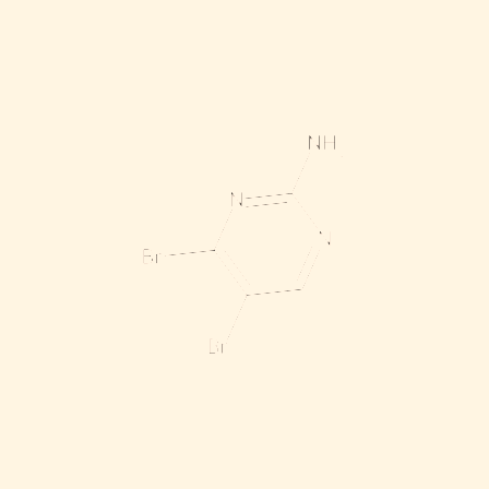 Nc1ncc(Br)c(Br)n1